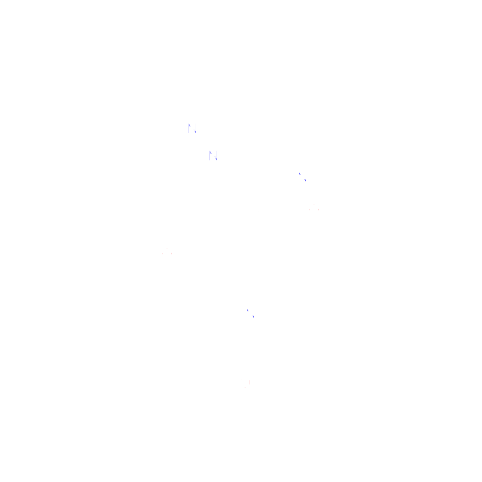 C[C@@H]1CN(c2c(C=O)cc3c(-c4cccnn4)noc3c2F)C[C@H](C)O1